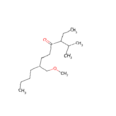 CCCCC(CCC(=O)C(CC)C(C)C)COC